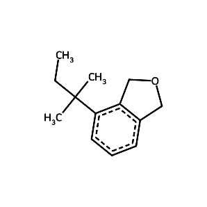 CCC(C)(C)c1cccc2c1COC2